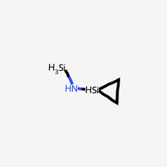 [SiH3]N[SiH]1CC1